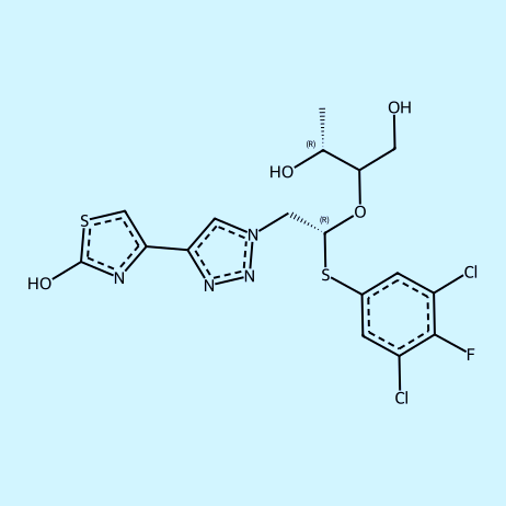 C[C@@H](O)C(CO)O[C@@H](Cn1cc(-c2csc(O)n2)nn1)Sc1cc(Cl)c(F)c(Cl)c1